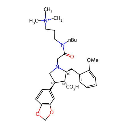 CCCCN(CCC[N+](C)(C)C)C(=O)CN1C[C@H](c2ccc3c(c2)OCO3)[C@@H](C(=O)O)[C@@H]1Cc1ccccc1OC